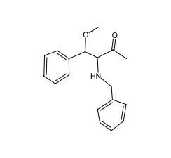 COC(c1ccccc1)C(NCc1ccccc1)C(C)=O